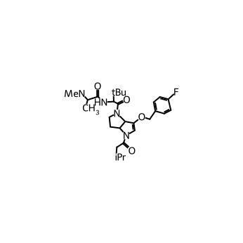 CNC(C)C(=O)NC(C(=O)N1CCC2C1C(OCc1ccc(F)cc1)=CN2C(=O)CC(C)C)C(C)(C)C